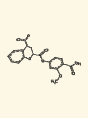 COc1cc(OC(=O)C2CC(=S(=O)=O)c3ccccc3O2)ccc1C(=O)O